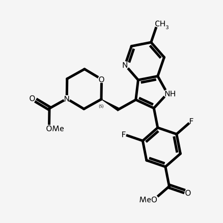 COC(=O)c1cc(F)c(-c2[nH]c3cc(C)cnc3c2C[C@H]2CN(C(=O)OC)CCO2)c(F)c1